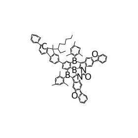 CCCCCC(CC)C1(C)c2cc(-c3ccccc3)ccc2-c2ccc(-c3cc4c5c(c3)B(c3c(C)cc(C)cc3C)c3c6n(c7cc8c(cc37)oc3ccccc38)C(=O)n3c(c(c7cc8oc9ccccc9c8cc73)B4c3c(C)cc(C)cc3C)B56)cc21